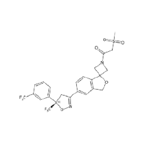 CS(=O)(=O)CC(=O)N1CC2(C1)OCc1cc(C3=NO[C@@](c4cccc(C(F)(F)F)c4)(C(F)(F)F)C3)ccc12